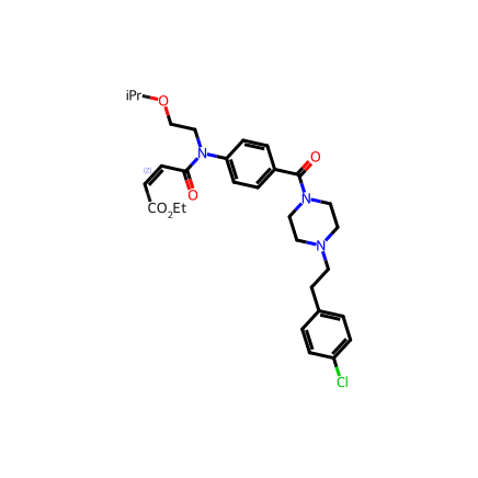 CCOC(=O)/C=C\C(=O)N(CCOC(C)C)c1ccc(C(=O)N2CCN(CCc3ccc(Cl)cc3)CC2)cc1